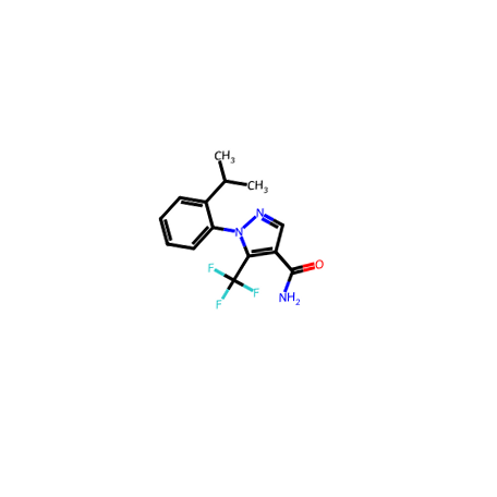 CC(C)c1ccccc1-n1ncc(C(N)=O)c1C(F)(F)F